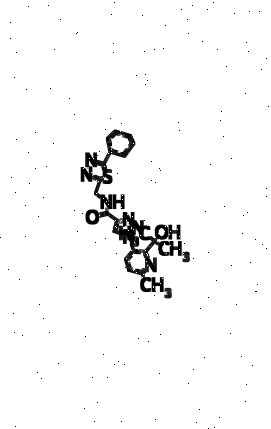 Cc1ccc(-n2cc(C(=O)NCc3nnc(-c4ccccc4)s3)nn2)c(C(C)(C)O)n1